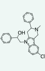 CN1Cc2c(n(CC(O)c3ccccc3)c3ccc(Cl)cc23)CC1c1ccccc1